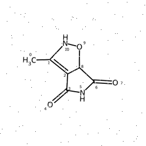 CC1=C2C(=O)NC(=O)C2ON1